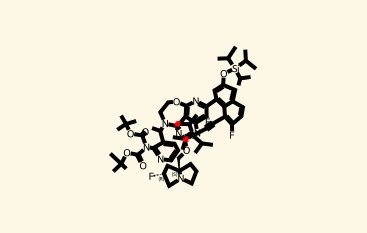 CC(c1cccnc1N(C(=O)OC(C)(C)C)C(=O)OC(C)(C)C)N1CCOc2nc(-c3cc(O[Si](C(C)C)(C(C)C)C(C)C)cc4ccc(F)c(C#C[Si](C(C)C)(C(C)C)C(C)C)c34)c(F)c3nc(OC[C@@]45CCCN4C[C@H](F)C5)nc1c23